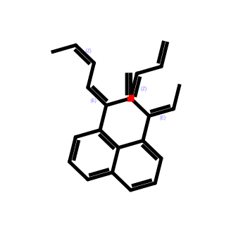 C=C/C=C\C(=C/C)c1cccc2cccc(/C(C=C)=C/C=C\C)c12